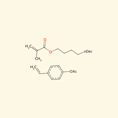 C=C(C)C(=O)OCCCCCCCCCCCCCC.C=Cc1ccc(OC(C)=O)cc1